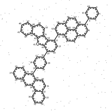 c1ccc(-c2ccc3ccc4c(-c5ccc(-c6ccc(-c7c8ccccc8cc8c7ccc7ccccc78)cc6)c6oc7c8ccccc8ccc7c56)ccc5ccc2c3c54)cc1